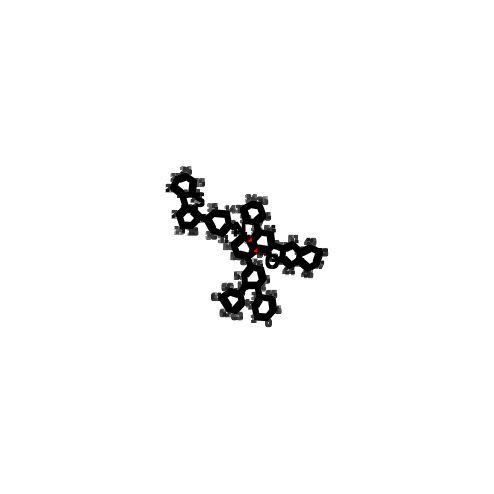 c1ccc(-c2ccc(-c3ccc(N(c4ccc(-c5cccc6c5sc5ccccc56)cc4)c4ccccc4-c4ccc5oc6cc7ccccc7cc6c5c4)cc3)cc2-c2ccccc2)cc1